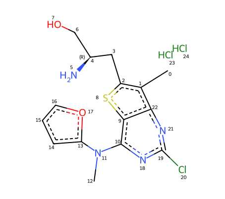 Cc1c(C[C@@H](N)CO)sc2c(N(C)c3ccco3)nc(Cl)nc12.Cl.Cl